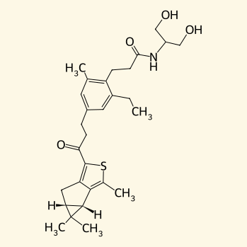 CCc1cc(CCC(=O)c2sc(C)c3c2C[C@@H]2[C@H]3C2(C)C)cc(C)c1CCC(=O)NC(CO)CO